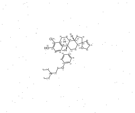 CCN(CC)CCOc1ccc([C@H]2C[C@@]3(C)[C@@H](CCC34C=CCO4)[C@@H]3CCc4c(ccc(O)c4Cl)[C@H]32)cc1